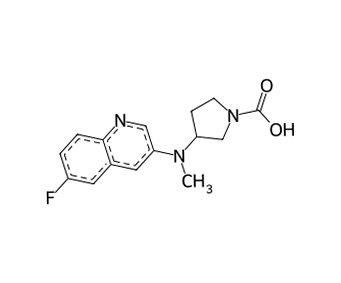 CN(c1cnc2ccc(F)cc2c1)C1CCN(C(=O)O)C1